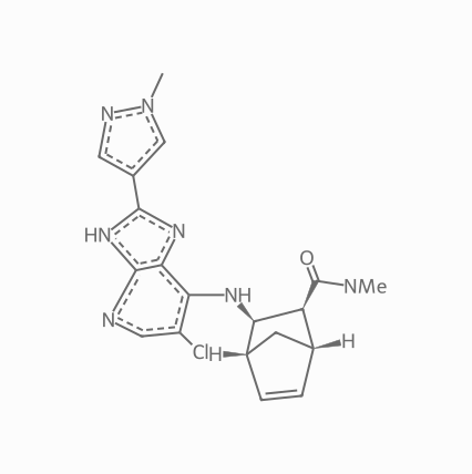 CNC(=O)[C@@H]1[C@H](Nc2c(Cl)cnc3[nH]c(-c4cnn(C)c4)nc23)[C@H]2C=C[C@@H]1C2